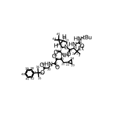 CCC(C)(C)[C@H](NC(=O)NC(C)(C)C)C(=O)N1C[C@H]2[C@@H]([C@H]1C(=O)NC(CC1CC1)C(=O)C(=O)NCC(=O)OC(C)(C)c1ccccc1)C2(C)C